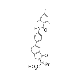 Cc1cc(C)c(C(=O)Nc2ccc(-c3ccc4c(c3)C(=O)N([C@H](C(=O)O)C(C)C)C4)cc2)c(C)c1